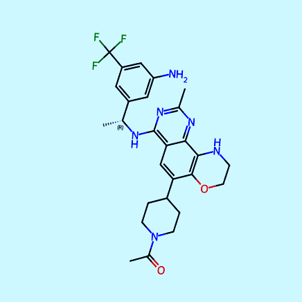 CC(=O)N1CCC(c2cc3c(N[C@H](C)c4cc(N)cc(C(F)(F)F)c4)nc(C)nc3c3c2OCCN3)CC1